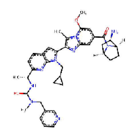 COc1cc(C(=O)N2[C@H]3CC[C@@H]2[C@H](N)C3)cc2nc(-c3cc4ccc([C@@H](C)NC(O)N(C)Cc5cccnc5)nc4n3CC3CC3)c(C)n12